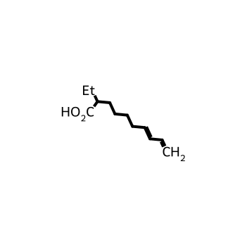 C=CC=CCCCCC(CC)C(=O)O